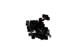 CC[C@H](C)[C@H](NC(=O)C(C)(C)N(C)C)C(=O)N(C)[C@H](C[C@@H](OC)c1nc(C(=O)N[C@H](CCC(=O)O)Cc2ccc(O)c(NC(=O)[C@H](C)NC(=O)[C@H](C)CC(=O)CC(C)(C)COCC(C)(C)CNC(=O)CCCN3C(=O)C=CC3=O)c2)cs1)C(C)C